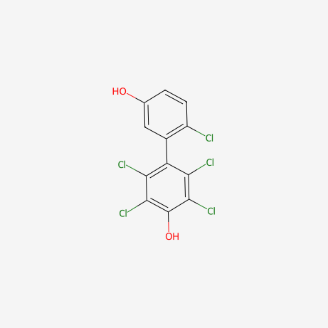 Oc1ccc(Cl)c(-c2c(Cl)c(Cl)c(O)c(Cl)c2Cl)c1